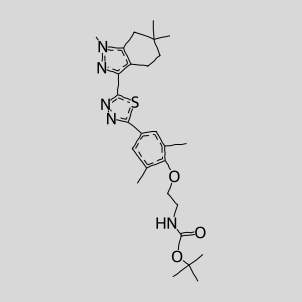 Cc1cc(-c2nnc(-c3nn(C)c4c3CCC(C)(C)C4)s2)cc(C)c1OCCNC(=O)OC(C)(C)C